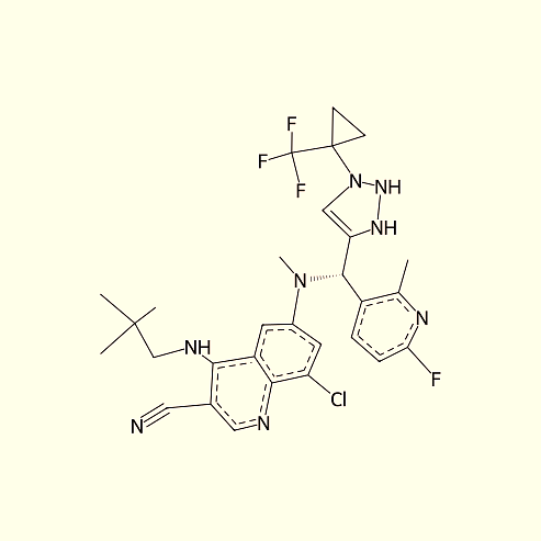 Cc1nc(F)ccc1[C@@H](C1=CN(C2(C(F)(F)F)CC2)NN1)N(C)c1cc(Cl)c2ncc(C#N)c(NCC(C)(C)C)c2c1